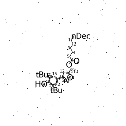 CCCCCCCCCCCCCCCC(=O)OC(C)C1CC(c2cc(C(C)(C)C)c(O)c(C(C)(C)C)c2)=NO1